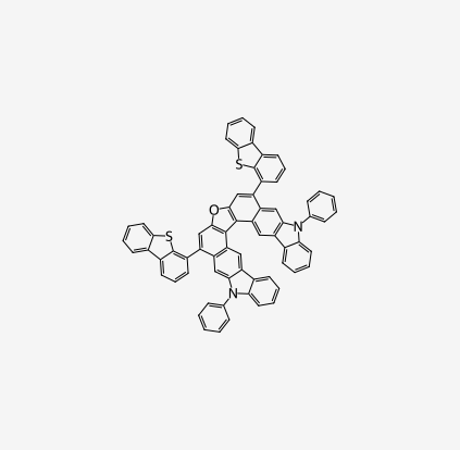 c1ccc(-n2c3ccccc3c3cc4c(cc32)c(-c2cccc3c2sc2ccccc23)cc2oc3cc(-c5cccc6c5sc5ccccc56)c5cc6c(cc5c3c24)c2ccccc2n6-c2ccccc2)cc1